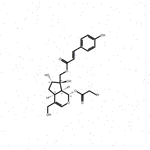 CC(C)CC(=O)O[C@@H]1OC=C(CO)[C@H]2C[C@H](O)[C@](O)(COC(=O)/C=C/c3ccc(O)cc3)[C@@H]12